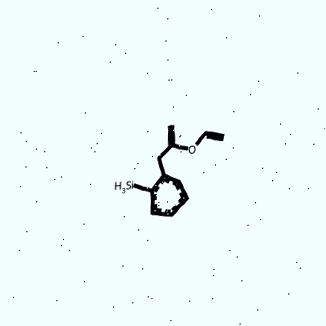 C=COC(=C)Cc1ccccc1[SiH3]